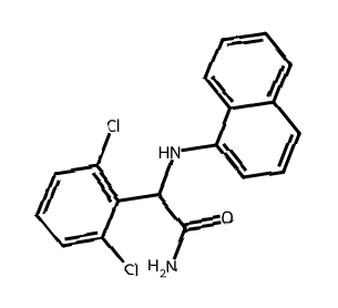 NC(=O)C(Nc1cccc2ccccc12)c1c(Cl)cccc1Cl